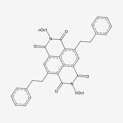 CCCCCCCCN1C(=O)c2cc(CCc3ccccc3)c3c4c(cc(CCc5ccccc5)c(c24)C1=O)C(=O)N(CCCCCCCC)C3=O